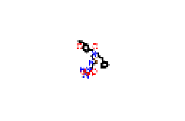 CN(C)S(=O)(=O)NC(=O)c1csc(CN(CCCc2ccccc2)C(=O)c2ccc3occc3c2)n1